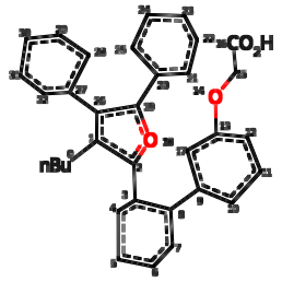 CCCCc1c(-c2ccccc2-c2cccc(OCC(=O)O)c2)oc(-c2ccccc2)c1-c1ccccc1